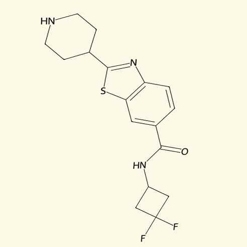 O=C(NC1CC(F)(F)C1)c1ccc2nc(C3CCNCC3)sc2c1